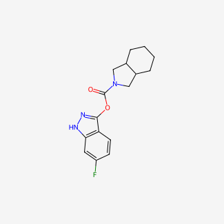 O=C(Oc1n[nH]c2cc(F)ccc12)N1CC2CCCCC2C1